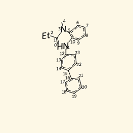 C=C(CC)N(C)c1ccccc1Nc1ccc(-c2ccccc2)cc1